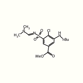 CCCCNc1cc(C(=O)OC)cc(S(=O)(=O)N=CN(C)C)c1Cl